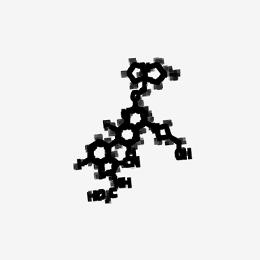 N#Cc1c(NC(=O)O)sc2c(F)ccc(-c3c(Cl)cc4c(N5CC(CO)C5)nc(OC[C@@]56CCCN5C[C@H](F)C6)nc4c3F)c12